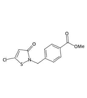 COC(=O)c1ccc(Cn2sc(Cl)cc2=O)cc1